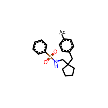 CC(=O)c1ccc(CC2(CNS(=O)(=O)c3ccccc3)CCCC2)cc1